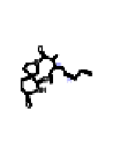 C=C/C=C\C=C(/C=C)C(C)C(=O)N1CCC2(CCC(=O)NC2=O)C1